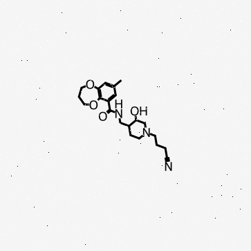 Cc1cc2c(c(C(=O)NCC3CCN(CCCC#N)CC3O)c1)OCCCO2